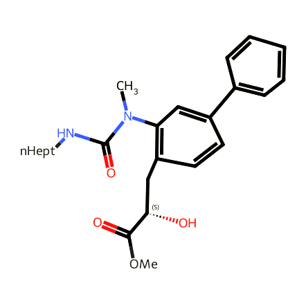 CCCCCCCNC(=O)N(C)c1cc(-c2ccccc2)ccc1C[C@H](O)C(=O)OC